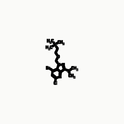 CN(C)c1nn(COCC[Si](C)(C)C)c2c(Br)cc(Cl)nc12